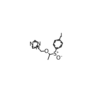 CC(OCn1cncn1)[S+]([O-])c1ccc(I)cc1